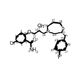 NC(=O)c1cc(Cl)ccc1OC[C@H](O)CN1CCCO[C@@H](Cc2ccc(F)cc2)C1